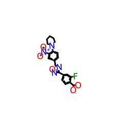 COC(=O)c1ccc(-c2noc(-c3ccc(N4CCCCC4)c([N+](=O)[O-])c3)n2)cc1F